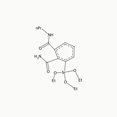 CCCNC(=O)c1cccc([Si](OCC)(OCC)OCC)c1C(N)=O